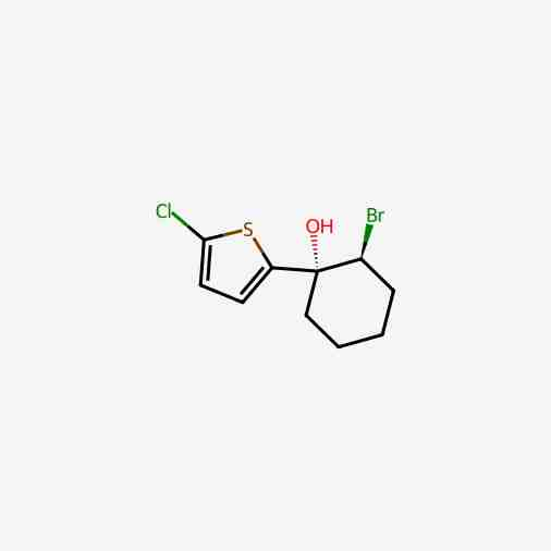 O[C@@]1(c2ccc(Cl)s2)CCCC[C@@H]1Br